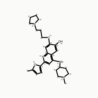 Cc1ccc(-c2cc(NC3CCN(C)CC3)c3cc(O)c(OCCCN4CCCC4)cc3n2)o1